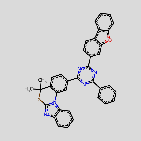 CC1(C)Sc2nc3ccccc3n2-c2cc(-c3nc(-c4ccccc4)nc(-c4ccc5c(c4)oc4ccccc45)n3)ccc21